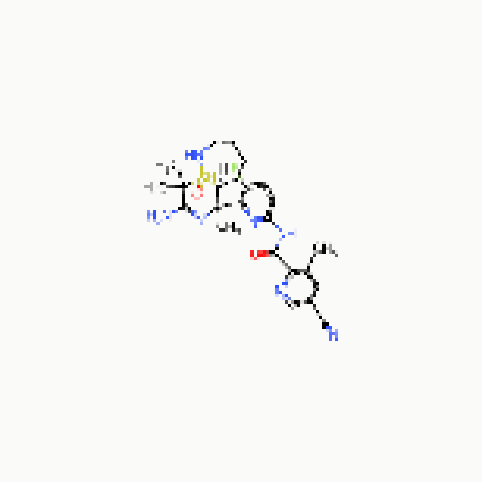 Cc1cc(C#N)cnc1C(=O)Nc1ccc(F)c([C@@]2(C)N=C(N)C(C)(C)[SH]3(=O)NCCCC[C@@H]23)n1